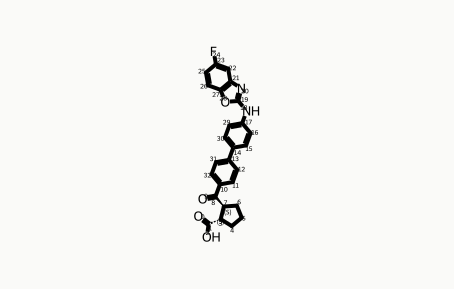 O=C(O)[C@H]1CCC[C@@H]1C(=O)c1ccc(-c2ccc(Nc3nc4cc(F)ccc4o3)cc2)cc1